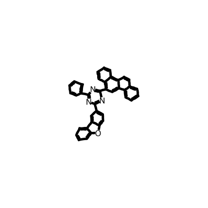 c1ccc(-c2nc(-c3ccc4oc5ccccc5c4c3)nc(-c3cc4c5ccccc5ccc4c4ccccc34)n2)cc1